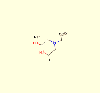 CC(O)CN(CCO)CC(=O)[O-].[Na+]